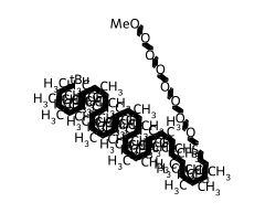 COCCOCCOCCOCCOCCOCCOCCOCCSCCCC(C)(C)CC(C)(C)CC(C)(C)CC(C)(C)CC(C)(C)CC(C)(C)CC(C)(C)CC(C)(C)CC(C)(C)CC(C)(C)CC(C)(C)CC(C)(C)CC(C)(C)CC(C)(C)CC(C)(C)CC(C)(C)CC(C)(C)CC(C)(C)CC(C)(C)CC(C)(C)CC(C)(C)CC(C)(C)CC(C)(C)CC(C)(C)CC(C)(C)CC(C)(C)CC(C)(C)CC(C)(C)CC(C)(C)CC(C)(C)C